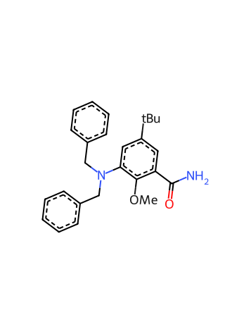 COc1c(C(N)=O)cc(C(C)(C)C)cc1N(Cc1ccccc1)Cc1ccccc1